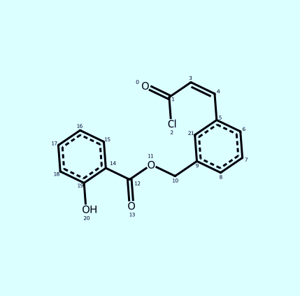 O=C(Cl)/C=C\c1cccc(COC(=O)c2ccccc2O)c1